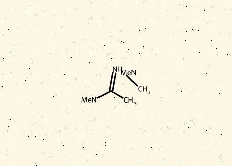 CNC.CNC(C)=N